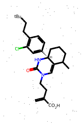 C=C(CCN1C=C2C(C)CCC[C@]2(c2ccc(CCC(C)(C)C)c(Cl)c2)NC1=O)C(=O)O